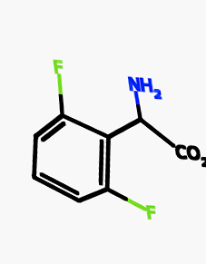 NC(C(=O)O)c1c(F)cccc1F